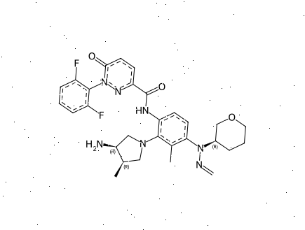 C=NN(c1ccc(NC(=O)c2ccc(=O)n(-c3c(F)cccc3F)n2)c(N2C[C@@H](C)[C@@H](N)C2)c1C)[C@@H]1CCCOC1